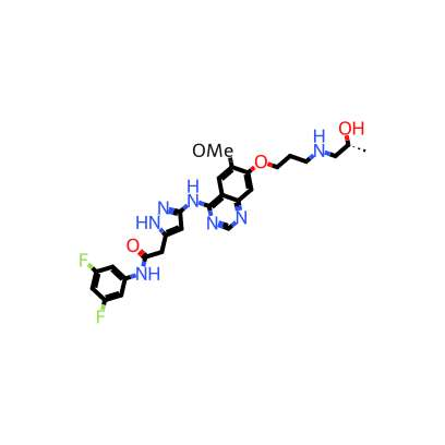 COc1cc2c(Nc3cc(CC(=O)Nc4cc(F)cc(F)c4)[nH]n3)ncnc2cc1OCCCNC[C@@H](C)O